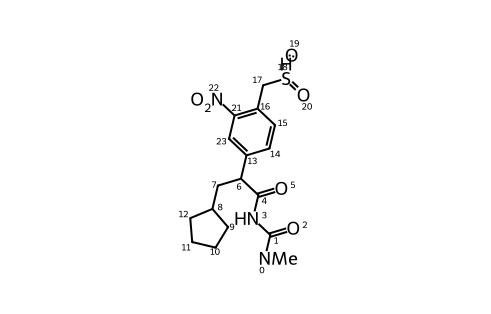 CNC(=O)NC(=O)C(CC1CCCC1)c1ccc(C[SH](=O)=O)c([N+](=O)[O-])c1